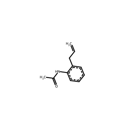 C=CCc1ccccc1NC(C)=O